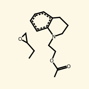 CC(=O)OCCN1CCCc2ccccc21.CCC1CO1